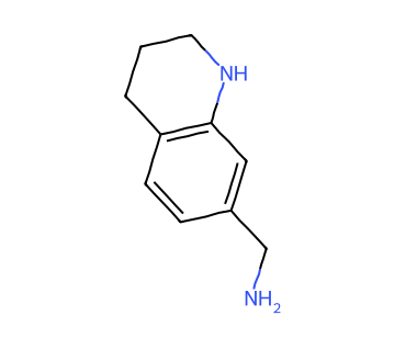 NCc1ccc2c(c1)NCCC2